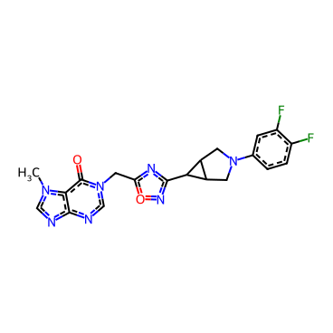 Cn1cnc2ncn(Cc3nc(C4C5CN(c6ccc(F)c(F)c6)CC54)no3)c(=O)c21